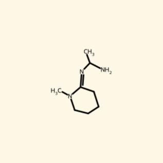 CC(N)/N=C1\CCCCN1C